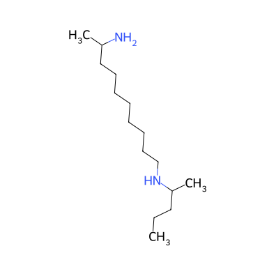 CCCC(C)NCCCCCCCCC(C)N